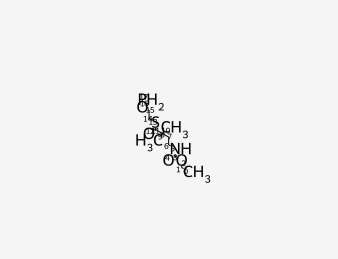 CCOC(=O)NCCC(C)(C)C(=O)SCCOP